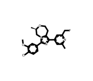 COc1cc(-c2nc(-c3cc(C)nc(CF)c3)c3n2C[C@@H](C)OCC3)ccc1Cl